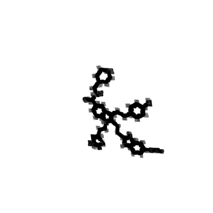 COc1ccc2sc(CCc3c(CCc4ccc(Cl)cc4)c4cc(C(=O)NCC5CCNCC5)ccc4n3CCc3nn[nH]n3)nc2c1